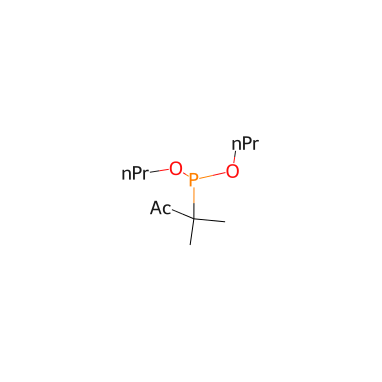 CCCOP(OCCC)C(C)(C)C(C)=O